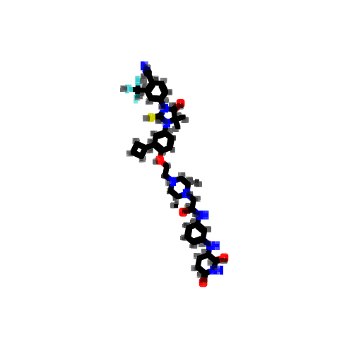 C[C@@H]1CN(CCOc2ccc(N3C(=S)N(c4ccc(C#N)c(C(F)(F)F)c4)C(=O)C3(C)C)cc2C2CCC2)C[C@H](C)N1CC(=O)Nc1cccc(NC2CCC(=O)NC2=O)c1